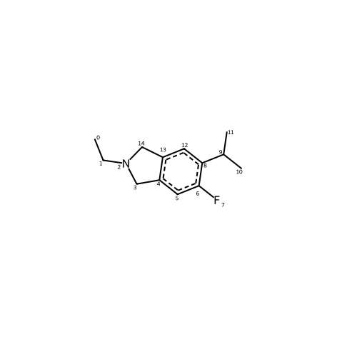 CCN1Cc2cc(F)c(C(C)C)cc2C1